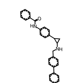 O=C(Nc1ccc(C2CC2NCc2ccc(-c3ccccc3)cc2)cc1)c1ccccc1